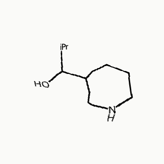 CC(C)C(O)C1CCCNC1